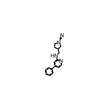 N#CN1CCC(CNc2cc(-c3ccccc3)ccn2)C1